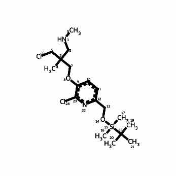 CNCC(C)(CCl)COc1ccc(CO[Si](C)(C)C(C)(C)C)nc1Cl